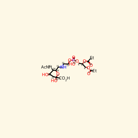 CCC(=O)OCC(COP(=O)(O)OCCNCC1OC(O)(C(=O)O)CC(O)C1NC(C)=O)OC(=O)CC